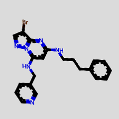 Brc1cnn2c(NCc3cccnc3)cc(NCCCc3ccccc3)nc12